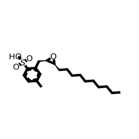 CCCCCCCCCC[C@@H]1O[C@@H]1Cc1cc(C)ccc1S(=O)(=O)O